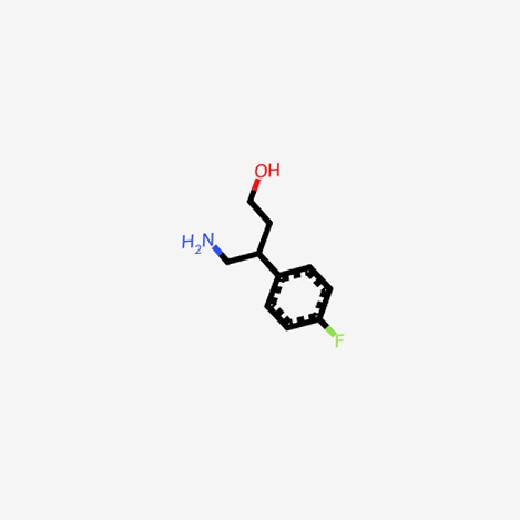 NCC(CCO)c1ccc(F)cc1